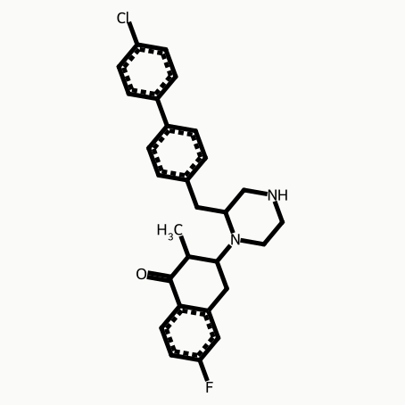 CC1C(=O)c2ccc(F)cc2CC1N1CCNCC1Cc1ccc(-c2ccc(Cl)cc2)cc1